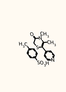 CC1=C(c2ccncc2)SCC(=O)N1C.Cc1ccc(S(=O)(=O)O)cc1